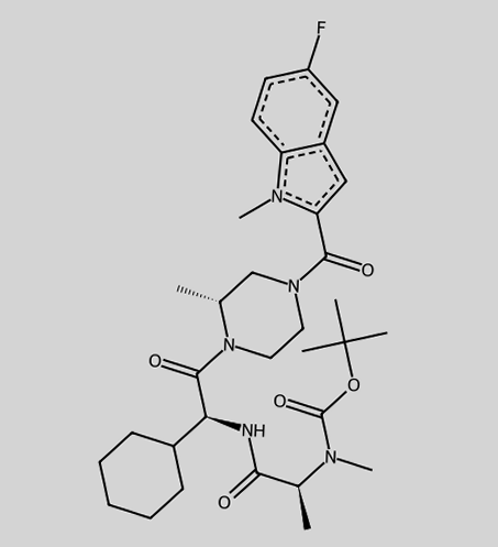 C[C@@H]1CN(C(=O)c2cc3cc(F)ccc3n2C)CCN1C(=O)[C@@H](NC(=O)[C@H](C)N(C)C(=O)OC(C)(C)C)C1CCCCC1